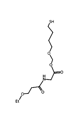 CCOCCC(=O)NCC(=O)OCOCCCCS